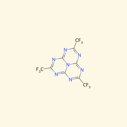 FC(F)(F)C1=NC2=NC(C(F)(F)F)=NC3=NC(C(F)(F)F)=NC(=N1)N23